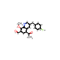 COc1c(C=O)cc(C(C)=O)c2cc(Cc3ccc(F)cc3)cnc12